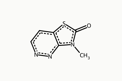 Cn1c(=O)sc2ccnnc21